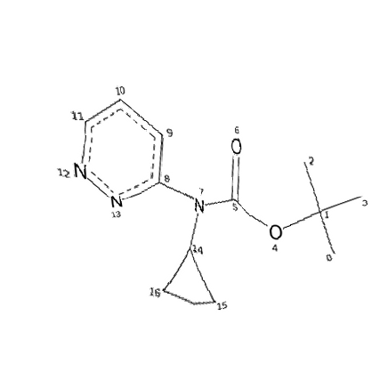 CC(C)(C)OC(=O)N(c1cccnn1)C1CC1